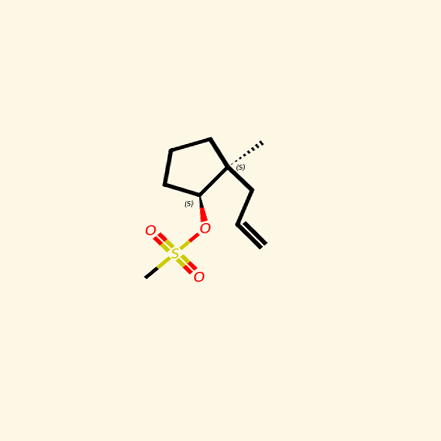 C=CC[C@]1(C)CCC[C@@H]1OS(C)(=O)=O